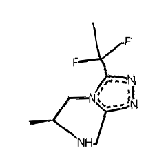 C[C@H]1Cn2c(nnc2C(C)(F)F)CN1